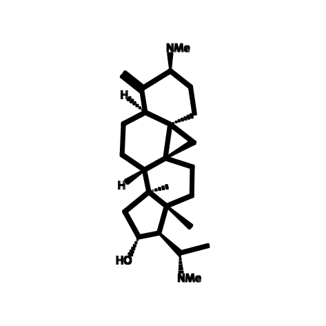 C=C1[C@@H](NC)CC[C@]23C[C@]24CC[C@]2(C)[C@@H]([C@H](C)NC)[C@H](O)C[C@@]2(C)[C@@H]4CC[C@@H]13